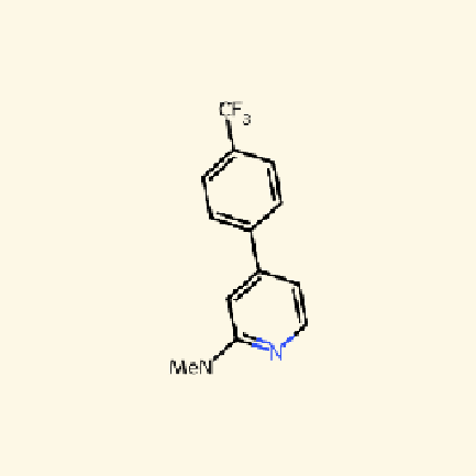 CNc1cc(-c2ccc(C(F)(F)F)cc2)ccn1